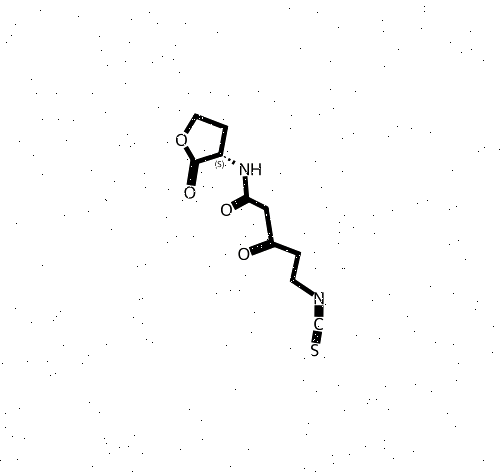 O=C(CCN=C=S)CC(=O)N[C@H]1CCOC1=O